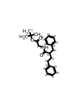 CC(C)(C)OC(=O)CNC(=O)C(CCc1ccccc1)Cc1ccccc1